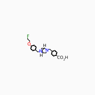 O=C(O)c1ccc(CN2C[C@@H]3C[C@H]2CN3Cc2ccc(OCCF)cc2)cc1